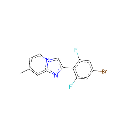 Cc1ccn2cc(-c3c(F)cc(Br)cc3F)nc2c1